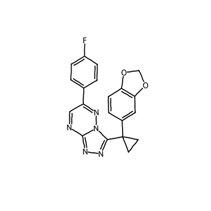 Fc1ccc(-c2cnc3nnc(C4(c5ccc6c(c5)OCO6)CC4)n3n2)cc1